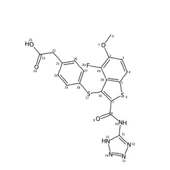 COc1ccc2sc(C(=O)Nc3nnn[nH]3)c(Sc3ccc(CC(=O)O)cc3)c2c1F